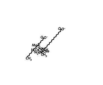 C=C(C)C(=O)O.C=C(C)C(=O)O.CCCCCCCCCCCCCCCC(=O)[O-].CCCCCCCCCCCCCCCC(=O)[O-].[Mg+2]